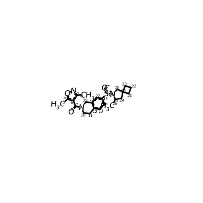 Cc1noc(C)c1C(=O)N1CCc2ccc([S+]([O-])N3CC4(CCC4)CC3C)cc2C1